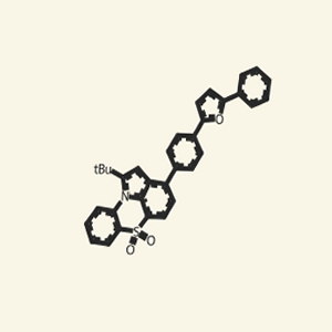 CC(C)(C)c1cc2c(-c3ccc(-c4ccc(-c5ccccc5)o4)cc3)ccc3c2n1-c1ccccc1S3(=O)=O